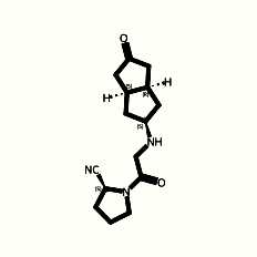 N#C[C@@H]1CCCN1C(=O)CN[C@H]1C[C@H]2CC(=O)C[C@H]2C1